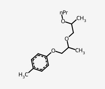 CCCOC(C)COC(C)COc1ccc(C)cc1